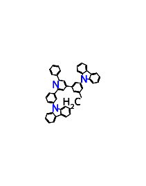 C=Cc1cc(-c2cc(-c3ccccc3)nc(-c3cccc(-n4c5ccccc5c5ccccc54)c3)c2)cc(-n2c3ccccc3c3ccccc32)c1